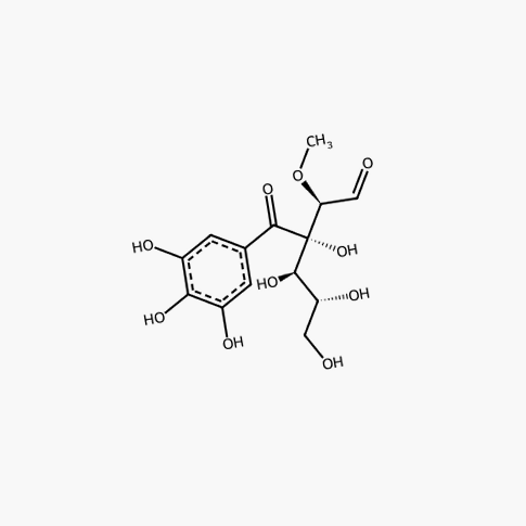 CO[C@@H](C=O)[C@](O)(C(=O)c1cc(O)c(O)c(O)c1)[C@H](O)[C@H](O)CO